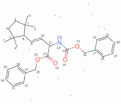 CC1(C)CCC(C)(C)C1C=CC(NC(=O)OCc1ccccc1)C(=O)OCc1ccccc1